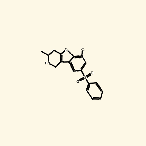 CC1Cc2oc3c(Cl)cc(S(=O)(=O)c4ccccc4)cc3c2CN1